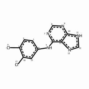 Clc1ccc(Nc2ncnc3[nH]cnc23)cc1Cl